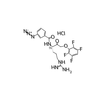 Cl.[N-]=[N+]=Nc1cccc(C(=O)N[C@@H](CCCNC(=N)N)C(=O)COc2c(F)c(F)cc(F)c2F)c1